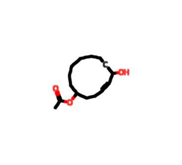 CC(=O)OC1CC/C=C/C(O)CCCCCCC1